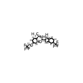 C[C@@H](NC(=O)c1nc2cc(C(F)(F)F)ccc2[nH]1)c1ccc(OCC(F)(F)F)cn1